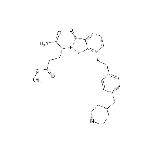 COC(=O)CCC(C(N)=O)N1Cc2c(OCc3ccc(CC4CCNCC4)cc3)cccc2C1=O